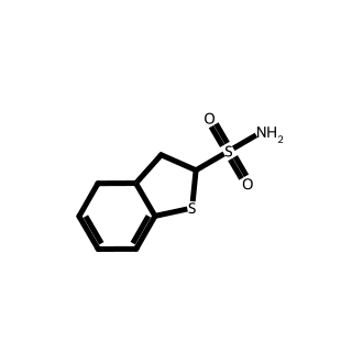 NS(=O)(=O)C1CC2CC=CC=C2S1